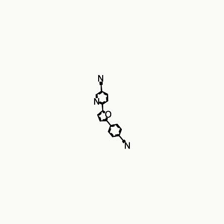 N#Cc1ccc(-c2ccc(-c3ccc(C#N)cn3)o2)cc1